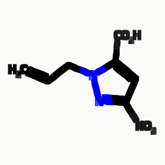 C=CCn1nc([N+](=O)[O-])cc1C(=O)O